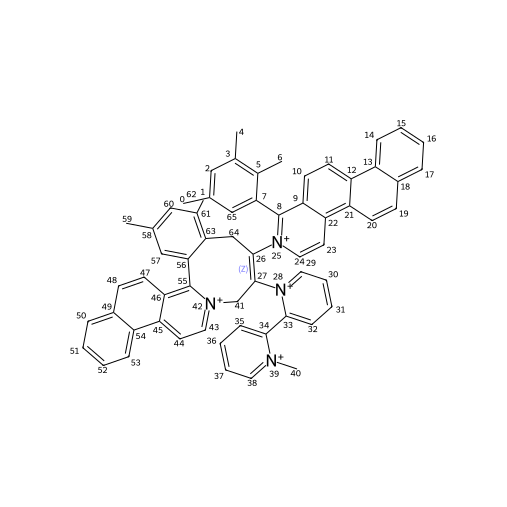 Cc1cc(C)c(C)c(-c2c3ccc4c5ccccc5ccc4c3cc[n+]2/C2=C(\[n+]3ccccc3-c3cccc[n+]3C)C[n+]3ccc4c(ccc5ccccc54)c3-c3cc(C)cc(C)c3C2)c1